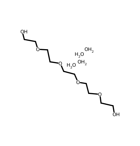 O.O.O.O.OCCOCCOCCOCCOCCO